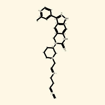 C=C=CCC/N=C/CN1CCC[C@@H](N2Cc3cc4c(-c5ccnc(C)c5)n[nH]c4cc3NC2=O)C1